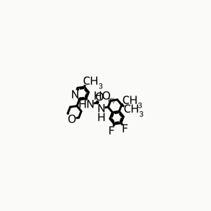 Cc1cnc(C2CCOCC2)c(NC(=O)NC2c3cc(F)c(F)cc3C(C)(C)C[C@H]2O)c1